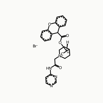 O=C(C[N+]12CCC(CC1)[C@@H](OC(=O)C1c3ccccc3Oc3ccccc31)C2)Nc1ccncn1.[Br-]